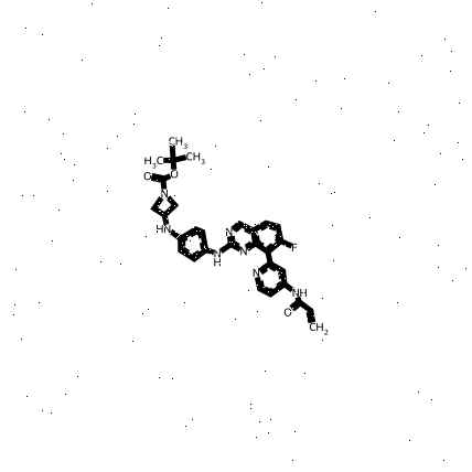 C=CC(=O)Nc1ccnc(-c2c(F)ccc3cnc(Nc4ccc(NC5CN(C(=O)OC(C)(C)C)C5)cc4)nc23)c1